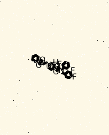 O=C(O[C@H]1C[N+]2(CCS(=O)(=O)c3ccccc3)CCC1CC2)N(Cc1ccc(F)c(F)c1)c1ccccc1F